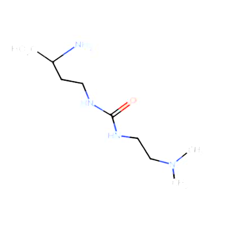 CN(C)CCNC(=O)NCCC(N)C(=O)O